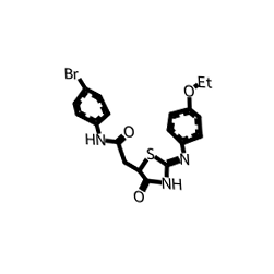 CCOc1ccc(/N=C2/NC(=O)C(CC(=O)Nc3ccc(Br)cc3)S2)cc1